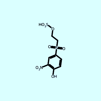 O=[N+]([O-])c1cc(S(=O)(=O)CCOS(=O)(=O)O)ccc1O